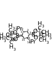 CC(C)c1cc(B2OC(C)(C)C(C)(C)O2)c(C(C)C)cc1B1OC(C)(C)C(C)(C)O1